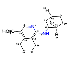 O=C(O)c1cnc(N[C@@H]2C[C@H]3CC[C@@H]2C3)c2c1CCCC2